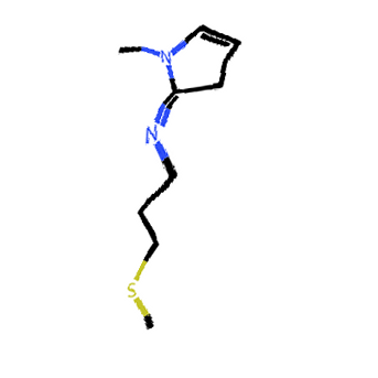 CSCCC/N=C1\CC=CN1C